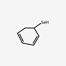 [SeH]C1C=CC=CC1